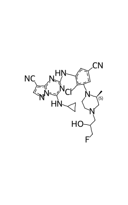 C[C@H]1CN(CC(O)CF)CCN1c1cc(C#N)cc(Nc2nc(NC3CC3)n3ncc(C#N)c3n2)c1Cl